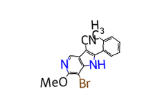 COc1ncc2c(C#N)c(-c3ccccc3C)[nH]c2c1Br